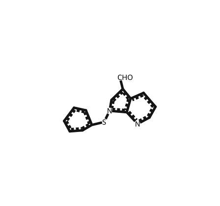 O=Cc1cn(Sc2ccccc2)c2ncccc12